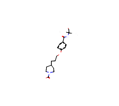 CC(C)(CO)NC(=O)c1ccc(OCCCC2CCN(C(=O)O)CC2)cc1